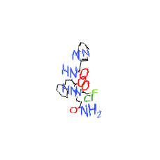 NC(=O)CCN(NC(=O)C(CC1CCCCC1)NC(=O)c1cn2ccccc2n1)C(=O)C(F)Cl